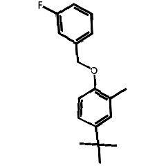 Cc1cc(C(C)(C)C)ccc1OCc1cccc(F)c1